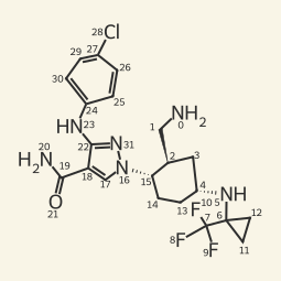 NC[C@H]1C[C@H](NC2(C(F)(F)F)CC2)CC[C@@H]1n1cc(C(N)=O)c(Nc2ccc(Cl)cc2)n1